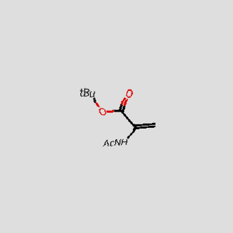 C=C(NC(C)=O)C(=O)OC(C)(C)C